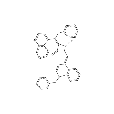 O=C1C(=C(Cc2ccccc2)C2=CC=[N+]c3ccccc32)C([O-])C1C=C1C=CN(Cc2ccccc2)c2ccccc21